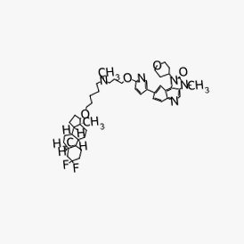 CN(CCCCCO[C@H]1CC[C@H]2[C@@H]3CC[C@H]4CC(F)(F)CC[C@]4(C)[C@H]3CC[C@]12C)CCCOc1ccc(-c2ccc3ncc4c(c3c2)n(C2CCOCC2)c(=O)n4C)cn1